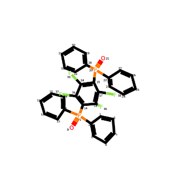 O=P(c1ccccc1)(c1ccccc1)c1c(F)c(F)c(P(=O)(c2ccccc2)c2ccccc2)c(F)c1F